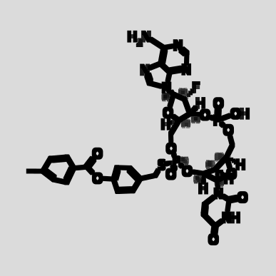 Cc1ccc(C(=O)Oc2ccc(CS[P@@]3(=O)OC[C@H]4O[C@@H](n5cnc6c(N)ncnc65)[C@H](F)[C@@H]4OP(=O)(O)OC[C@H]4O[C@@H](n5ccc(=O)[nH]c5=O)[C@H](O3)[C@@H]4F)cc2)cc1